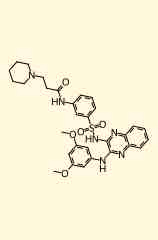 COc1cc(Nc2nc3ccccc3nc2NS(=O)(=O)c2cccc(NC(=O)CCN3CCCCC3)c2)cc(OC)c1